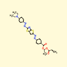 C=CC(=O)OC(CC)OC(=O)c1ccc(N=Nc2cc3sc(N=Nc4ccc(N(CC)CC)cc4)nc3s2)cc1